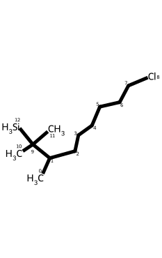 CC(CCCCCCCl)C(C)(C)[SiH3]